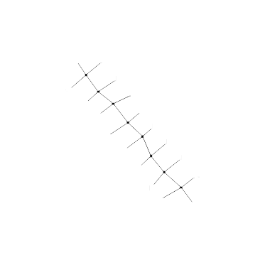 FC(F)(Br)C(F)(F)C(F)(F)C(F)(F)C(F)(F)C(F)(F)C(F)(F)C(F)(F)Br